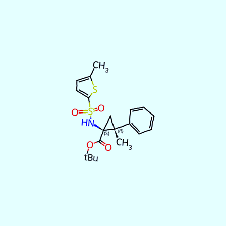 Cc1ccc(S(=O)(=O)N[C@@]2(C(=O)OC(C)(C)C)C[C@]2(C)c2ccccc2)s1